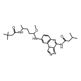 COC(CCC(C)NC(=O)CC(C)(C)C)Nc1ccc2nc(NC(=O)CC(C)C)c3nncn3c2c1